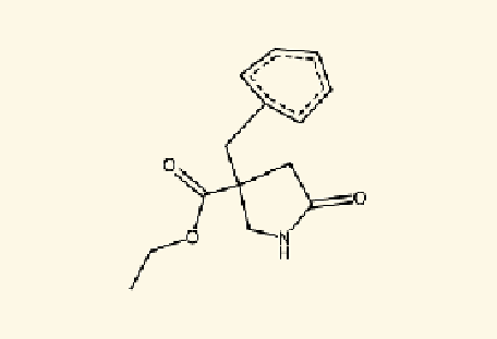 CCOC(=O)C1(Cc2ccccc2)CNC(=O)C1